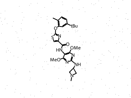 COc1nc(NC2CN(C)C2)nc(OC)c1NC(=O)c1csc(Oc2cc(C(C)(C)C)ccc2C)n1